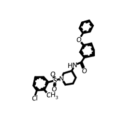 Cc1c(Cl)cccc1S(=O)(=O)N1CCCC(NC(=O)c2cccc(Oc3ccccc3)c2)C1